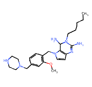 CCCCCN1C(N)=Nc2ccn(Cc3ccc(CN4CCNCC4)cc3OC)c2C1N